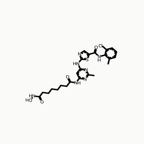 Cc1nc(NC(=O)CCCCCCC(=O)NO)cc(Nc2ncc(C(=O)Nc3c(C)cccc3Cl)s2)n1